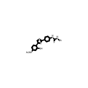 CC(=O)Nc1ccc(-c2cnc(-c3ccc(NC(=S)NC(C)C)cc3)s2)c(S)c1